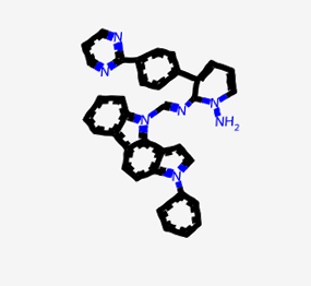 NN1C=CC=C(c2ccc(-c3ncccn3)cc2)C1/N=C/n1c2ccccc2c2ccc3c(ccn3-c3ccccc3)c21